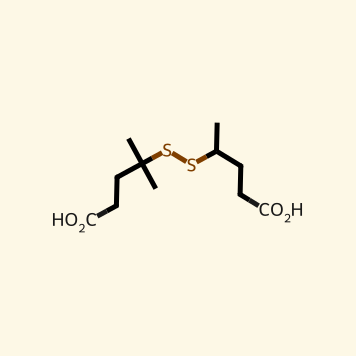 CC(CCC(=O)O)SSC(C)(C)CCC(=O)O